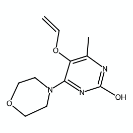 C=COc1c(C)nc(O)nc1N1CCOCC1